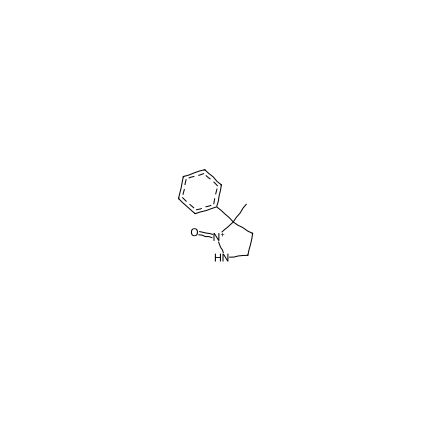 CC1(c2ccccc2)CCN[N+]1=O